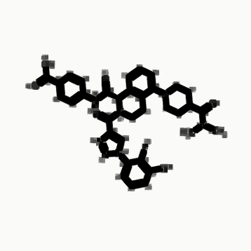 CN(C)C(=O)C1CCN(c2cccc3c2CCN(C(=O)c2cn(-c4cccc(Cl)c4F)nn2)[C@H]3C(=O)Nc2ccc(C(=O)O)cc2)CC1